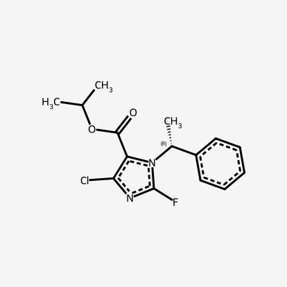 CC(C)OC(=O)c1c(Cl)nc(F)n1[C@H](C)c1ccccc1